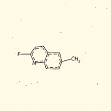 Cc1ccc2nc(F)ccc2c1